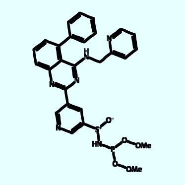 COOP(N[S+]([O-])c1cncc(-c2nc(NCc3ccccn3)c3c(-c4ccccc4)cccc3n2)c1)OOC